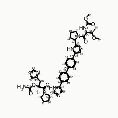 COC(=O)N[C@H](C(=O)N1CCCC1c1ncc(-c2ccc(-c3ccc(-c4cnc([C@@H]5CCCN5C(=O)[C@](C)(Cc5cscn5)OC(N)=O)[nH]4)cc3)cc2)[nH]1)[C@@H](C)OC